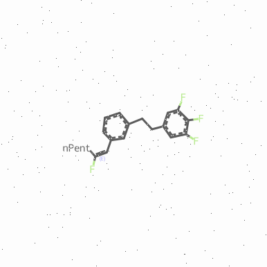 CCCCC/C(F)=C\c1cccc(CCc2cc(F)c(F)c(F)c2)c1